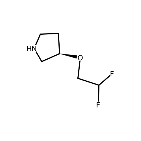 FC(F)CO[C@@H]1CCNC1